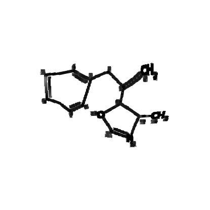 C=C(Cc1ccccc1)C1OC=NC1C